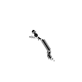 CCCCCCCCc1cc(-c2ncccn2)ccc1OCC(F)COCC(F)(F)C(F)(F)C(F)(F)C(F)(F)C(F)(F)C(F)(F)C(F)(F)C(F)(F)C(F)(F)OC(F)(F)C(F)(F)OC(F)(F)C(F)(F)C(F)(F)C(F)(F)F